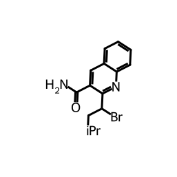 CC(C)CC(Br)c1nc2ccccc2cc1C(N)=O